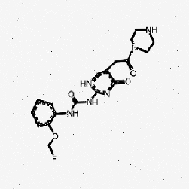 O=C(Nc1nc(=O)c(CC(=O)N2CCNCC2)c[nH]1)Nc1ccccc1OCF